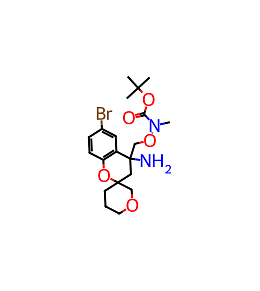 CN(OCC1(N)CC2(CCCOC2)Oc2ccc(Br)cc21)C(=O)OC(C)(C)C